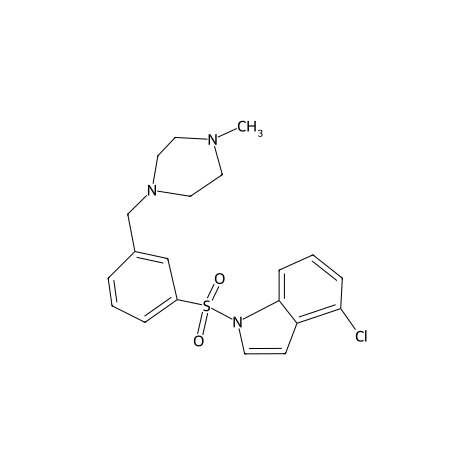 CN1CCN(Cc2cccc(S(=O)(=O)n3ccc4c(Cl)cccc43)c2)CC1